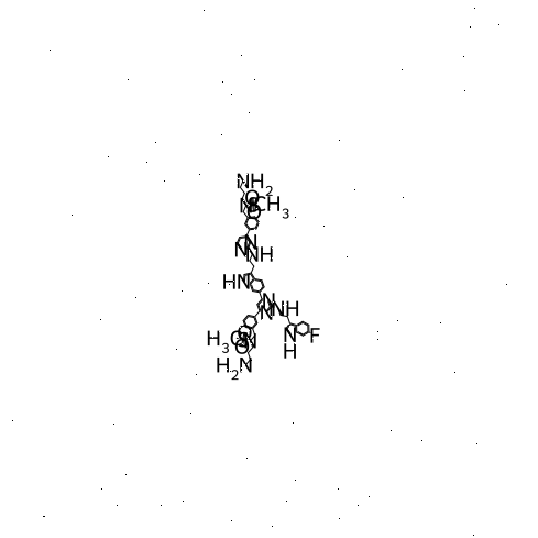 CS(=O)(=O)N(CCCN)Cc1cccc(-c2ccnc(NCCc3c[nH]c4cc(-c5cc(-c6cccc(CN(CCCN)S(C)(=O)=O)c6)nc(NCCc6c[nH]c7cc(F)ccc67)n5)ccc34)n2)c1